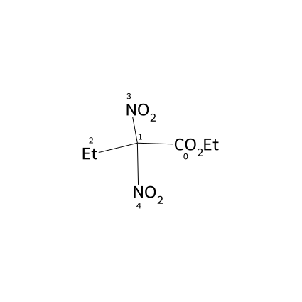 CCOC(=O)C(CC)([N+](=O)[O-])[N+](=O)[O-]